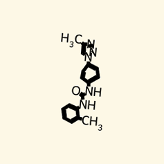 Cc1cn(-c2ccc(NC(=O)Nc3ccccc3C)cc2)nn1